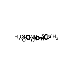 COC(=O)[C@H]1CC[C@H](NC(=O)N2CCC(c3nc4c(s3)CCN(C)CC4)CC2)CC1